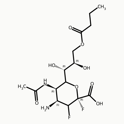 CCCC(=O)OC[C@@H](O)[C@@H](O)C1O[C@@](F)(C(=O)O)C(F)[C@@H](N)[C@H]1NC(C)=O